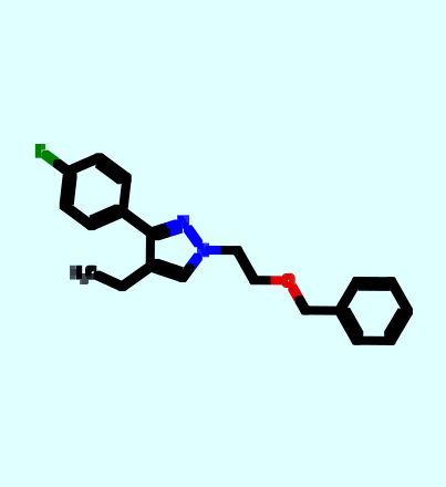 CCc1cn(CCOCc2ccccc2)nc1-c1ccc(F)cc1